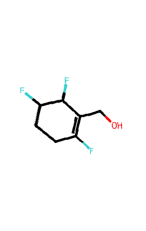 OCC1=C(F)CCC(F)C1F